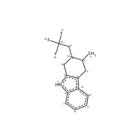 CC1Cc2c([nH]c3ccccc23)CN1CC(F)(F)F